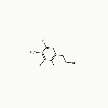 Cc1c(F)cc(CCN)c(F)c1F